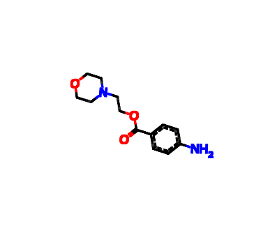 Nc1ccc(C(=O)OCCN2CCOCC2)cc1